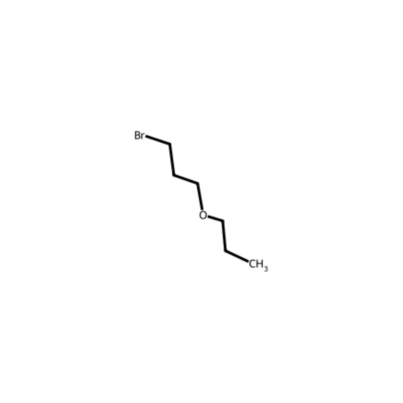 CCCOCCCBr